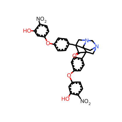 O=C1C2(c3ccc(Oc4ccc([N+](=O)[O-])c(O)c4)cc3)CN3CN(C2)CC1(c1ccc(Oc2ccc([N+](=O)[O-])c(O)c2)cc1)C3